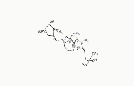 C=C1/C(=C\C=C2/CCC[C@]3(C)[C@@H]([C@H](C)CCCC(C)(C)O)CC[C@@H]23)C[C@@H](O)C[C@@H]1O.[PbH2]